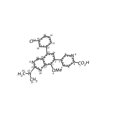 COc1c(-c2ccc(C(=O)O)nc2)cc(-c2cccc(Cl)c2)c2cnc(N(C)C)nc12